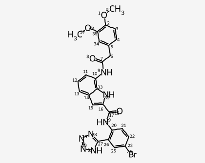 COc1ccc(CC(=O)Nc2cccc3cc(C(=O)Nc4ccc(Br)cc4-c4nnn[nH]4)[nH]c23)cc1OC